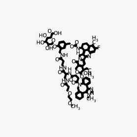 CCC1(O)C(=O)OCc2c1cc1n(c2=O)Cc2c-1nc1cc(F)c(C)c3c1c2C(NC(=O)OCc1ccc(OC2OC(C(=O)O)C(O)C(O)C2O)c(CNC(=O)CCNC(=O)C(CNC(=O)CCOCCOC)NC(=O)CCC(=O)N2Cc4ccccc4-c4c(nnn4C)-c4ccccc42)c1)CC3